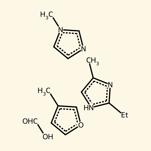 CCc1nc(C)c[nH]1.Cc1ccoc1.Cn1ccnc1.O=CO